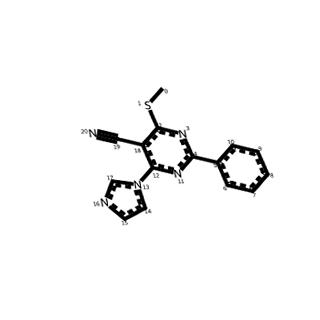 CSc1nc(-c2ccccc2)nc(-n2ccnc2)c1C#N